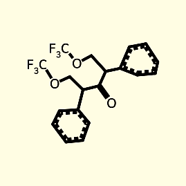 O=C(C(COC(F)(F)F)c1ccccc1)C(COC(F)(F)F)c1ccccc1